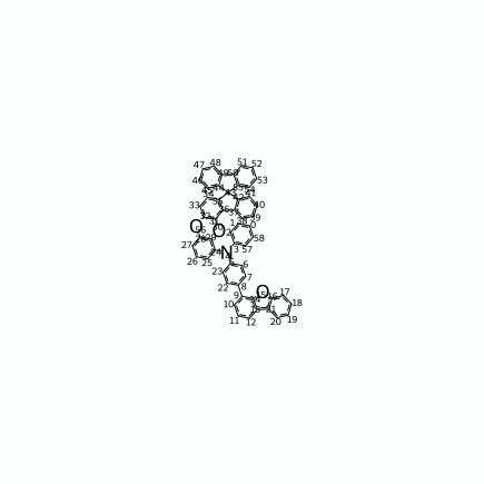 c1ccc(N(c2ccc(-c3cccc4c3oc3ccccc34)cc2)c2cccc3c2Oc2c(ccc4c2-c2ccccc2C42c4ccccc4-c4ccccc42)O3)cc1